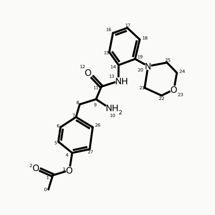 CC(=O)Oc1ccc(CC(N)C(=O)Nc2ccccc2N2CCOCC2)cc1